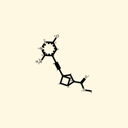 COC(=O)C1CC2(C#Cc3cc(Cl)nnc3N)CC1C2